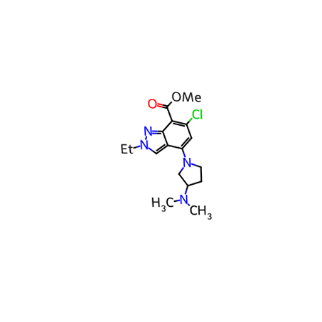 CCn1cc2c(N3CCC(N(C)C)C3)cc(Cl)c(C(=O)OC)c2n1